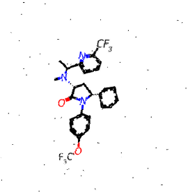 CC(c1cccc(C(F)(F)F)n1)N(C)[C@@H]1C[C@H](c2ccccc2)N(c2ccc(OC(F)(F)F)cc2)C1=O